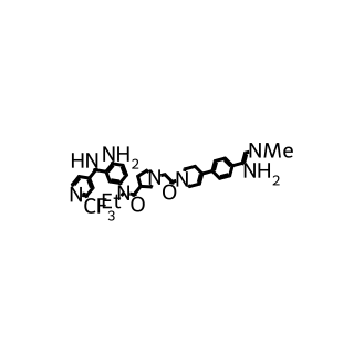 CCN(C(=O)C1CCN(CC(=O)N2CC=C(c3ccc(/C(N)=C/NC)cc3)CC2)C1)c1ccc(N)c(C(=N)c2ccnc(C(F)(F)F)c2)c1